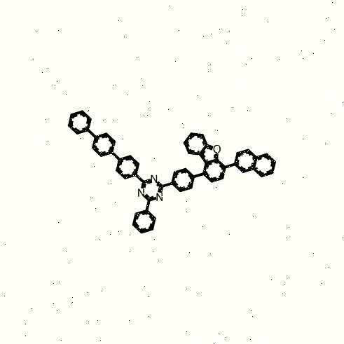 c1ccc(-c2ccc(-c3ccc(-c4nc(-c5ccccc5)nc(-c5ccc(-c6ccc(-c7ccc8ccccc8c7)c7oc8ccccc8c67)cc5)n4)cc3)cc2)cc1